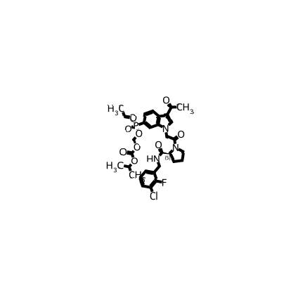 CCOP(=O)(OCOC(=O)OC(C)C)c1ccc2c(C(C)=O)cn(CC(=O)N3CCC[C@H]3C(=O)NCc3cccc(Cl)c3F)c2c1